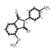 COc1cccc2c1C(=O)N(c1ccc(C)cc1)C2=O